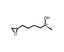 C[C@H](O)CCCCC1CO1